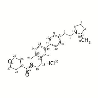 C[C@@H]1CCCN1CCc1ccc(-c2ccc3c(c2)CCN(C(=O)C2CCOCC2)C3)cc1.Cl